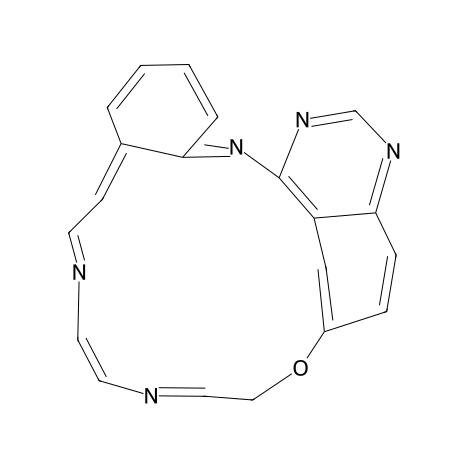 C1=C\N=C\COc2ccc3ncnc(c3c2)/N=c2\cccc\c2=C/C=N/1